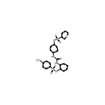 Cc1ccc(S(=O)(=O)Oc2ccccc2NC(=O)Nc2ccc(OS(=O)(=O)c3ccccc3)cc2)cc1